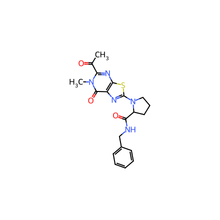 CC(=O)c1nc2sc(N3CCCC3C(=O)NCc3ccccc3)nc2c(=O)n1C